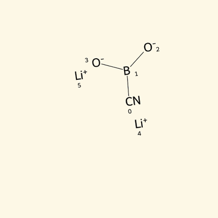 N#CB([O-])[O-].[Li+].[Li+]